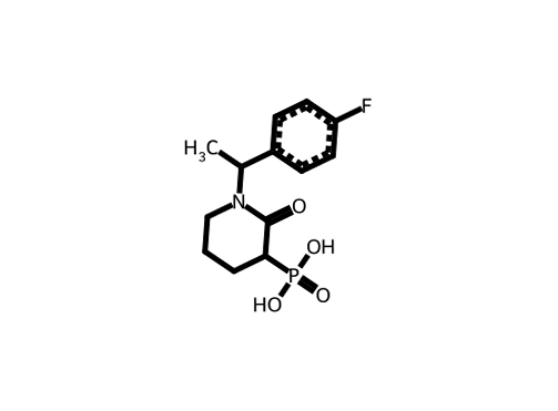 CC(c1ccc(F)cc1)N1CCCC(P(=O)(O)O)C1=O